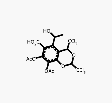 CC(=O)Oc1c(OC(C)=O)c(C(=O)O)c(C(C)O)c2c1OC(C(Cl)(Cl)Cl)OC2C(Cl)(Cl)Cl